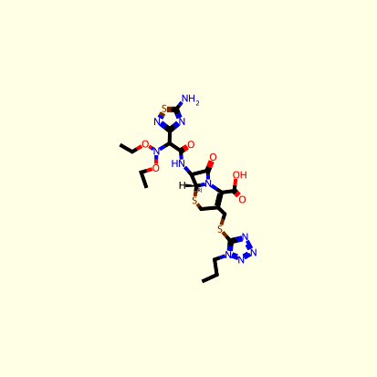 CCCn1nnnc1SCC1=C(C(=O)O)N2C(=O)C(NC(=O)C(c3nsc(N)n3)N(OCC)OCC)[C@H]2SC1